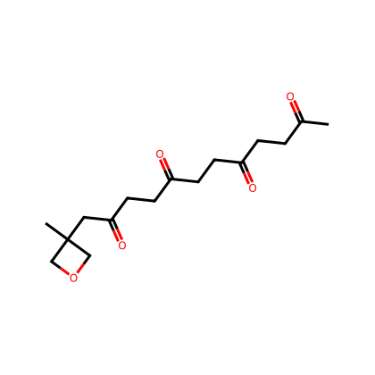 CC(=O)CCC(=O)CCC(=O)CCC(=O)CC1(C)COC1